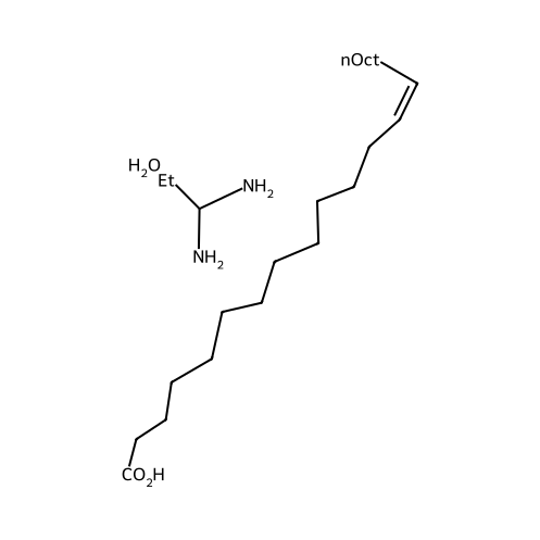 CCC(N)N.CCCCCCCC/C=C\CCCCCCCCCCCC(=O)O.O